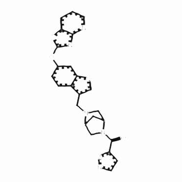 O=C(c1ccno1)N1CC2CC1CN2Cc1coc2cc(Oc3nc4ncccc4s3)ccc12